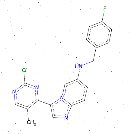 Cc1cnc(Cl)nc1-c1cnc2ccc(NCc3ccc(F)cc3)cn12